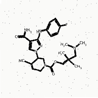 CN(C)CC(C)(C)COC(=O)N1CCC(C#N)C(n2cc(C(N)=O)c(Nc3ccc(F)cc3)n2)C1